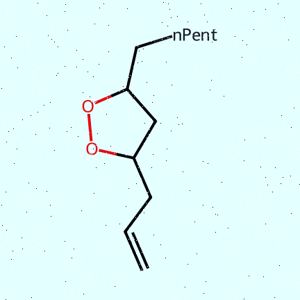 C=CCC1CC(CCCCCC)OO1